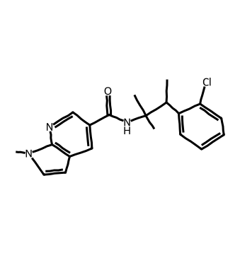 CC(c1ccccc1Cl)C(C)(C)NC(=O)c1cnc2c(ccn2C)c1